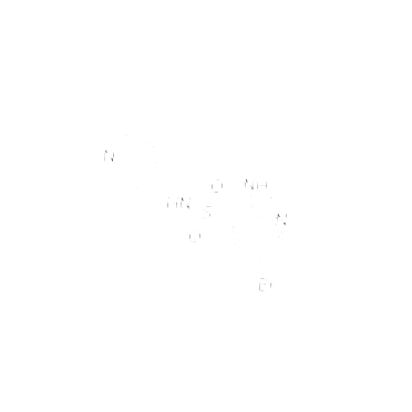 CN1CCC(CNS(=O)(=O)c2cc(Br)cnc2N)CC1